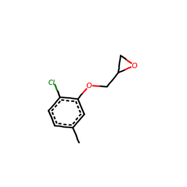 Cc1ccc(Cl)c(OCC2CO2)c1